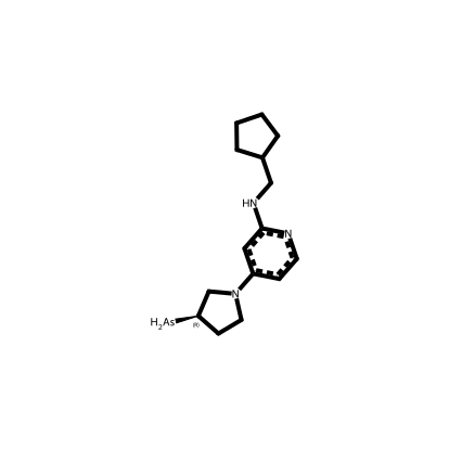 [AsH2][C@@H]1CCN(c2ccnc(NCC3CCCC3)c2)C1